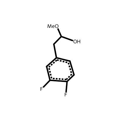 COC(O)Cc1ccc(F)c(F)c1